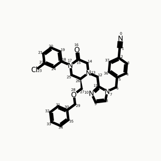 N#Cc1ccc(Cn2ccnc2CN2CC(=O)N(c3cccc(Cl)c3)C[C@@H]2COCc2ccccc2)cc1